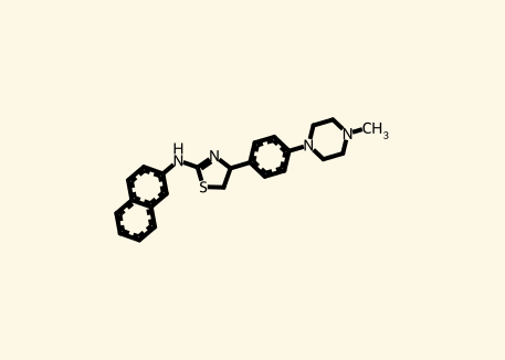 CN1CCN(c2ccc(C3CSC(Nc4ccc5ccccc5c4)=N3)cc2)CC1